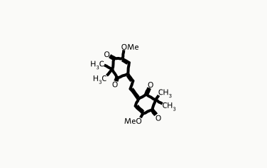 COC1=C/C(=C/C=C2/C=C(OC)C(=O)C(C)(C)C2=O)C(=O)C(C)(C)C1=O